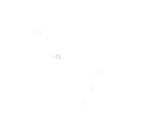 CC(=O)CNCCS(C)(=O)=O